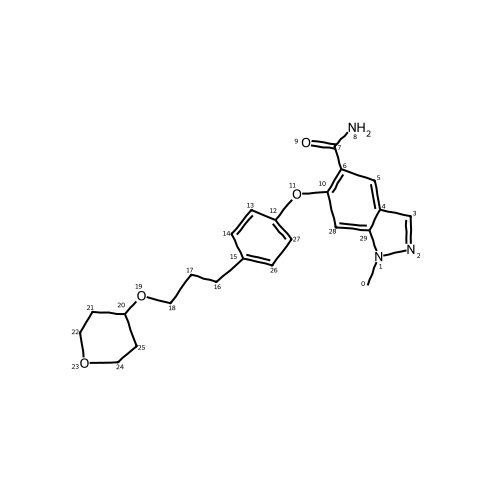 Cn1ncc2cc(C(N)=O)c(Oc3ccc(CCCOC4CCOCC4)cc3)cc21